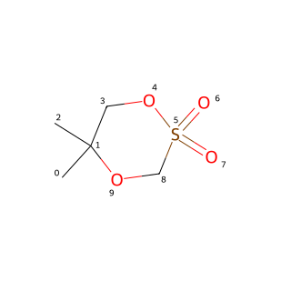 CC1(C)COS(=O)(=O)CO1